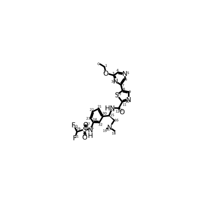 CCOc1cncc(-c2cnc(C(=O)N[C@@H](CN(C)C)c3cccc(NS(=O)(=O)C(F)F)c3)s2)n1